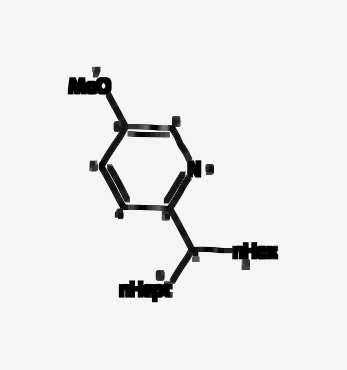 CCCCCCCC(CCCCCC)c1ccc(OC)cn1